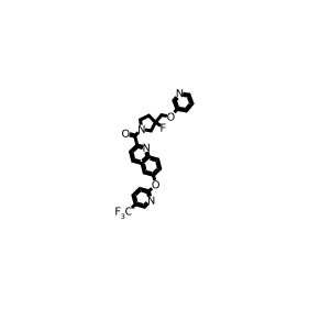 O=C(c1ccc2cc(Oc3ccc(C(F)(F)F)cn3)ccc2n1)N1CCC(F)(COc2cccnc2)C1